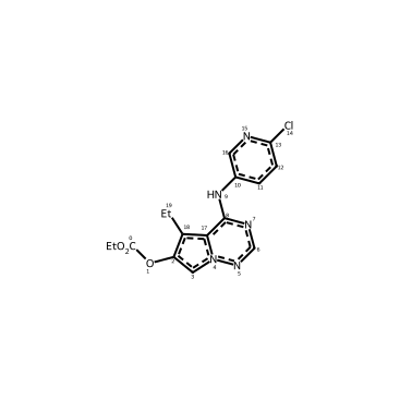 CCOC(=O)Oc1cn2ncnc(Nc3ccc(Cl)nc3)c2c1CC